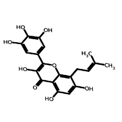 CC(C)=CCc1c(O)cc(O)c2c(=O)c(O)c(-c3cc(O)c(O)c(O)c3)oc12